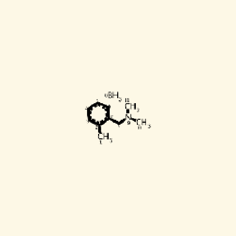 B.Cc1ccccc1CN(C)C